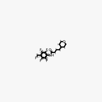 O=C(CCCC1CCOCC1)Nc1c(F)c(F)c(CF)c(F)c1F